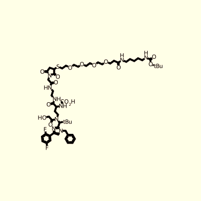 CC(C)(C)OC(=O)NCCCCCNC(=O)CCOCCOCCOCCOCCSC1CC(=O)N(CC(=O)NCCNC(=O)C(CCN(C(=O)CO)C(c2nc(-c3cc(F)ccc3F)cn2Cc2ccccc2)C(C)(C)C)NC(=O)O)C1=O